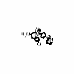 N[C@@H]1Cc2cc(Cl)ccc2-n2c(nnc2C2CCC(Oc3ccccn3)CC2)C1